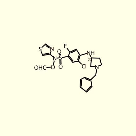 O=CON(c1cscn1)S(=O)(=O)c1cc(Cl)c(N[C@H]2CCN(Cc3ccccc3)C2)cc1F